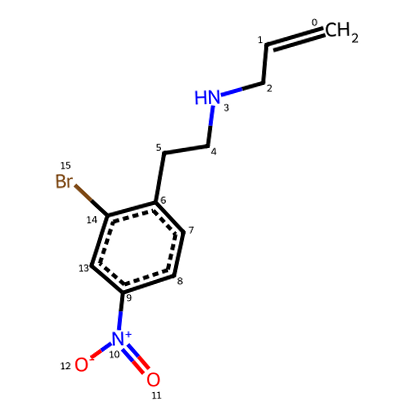 C=CCNCCc1ccc([N+](=O)[O-])cc1Br